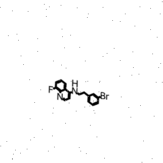 Fc1cccc2c(NCCc3cccc(Br)c3)ccnc12